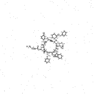 NCCNC(=O)O[C@@H]1C[C@H]2C(=O)N[C@@H](CCc3ccccc3)C(=O)N[C@H](Cc3c[nH]c4ccccc34)C(=O)N[C@@H](CC3CCNCC3)C(=O)N[C@@H](Cc3ccc(OCc4ccccc4)cc3)C(=O)N[C@@H](Cc3ccc(Cl)cc3)C(=O)N2C1